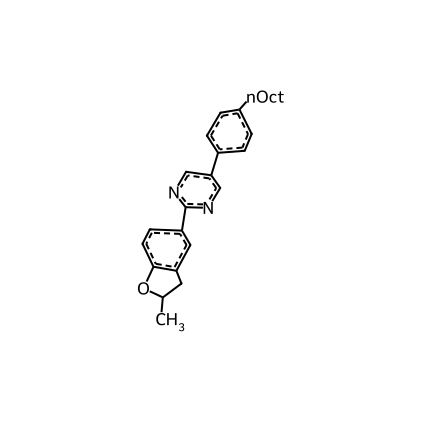 CCCCCCCCc1ccc(-c2cnc(-c3ccc4c(c3)CC(C)O4)nc2)cc1